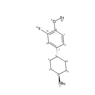 CCCC[C@H]1CC[C@H](c2ccc(OCC)c(F)c2)CC1